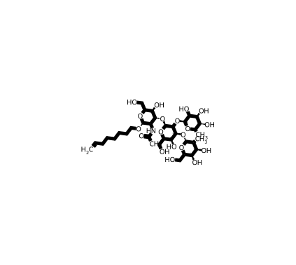 C=CCCCCCCO[C@@H]1OC(CO)[C@@H](O)[C@H](O[C@@H]2OC(CO)[C@H](O)[C@H](O[C@H]3OC(CO)[C@H](O)[C@H](O)C3C)C2O[C@@H]2OC(C)[C@@H](O)[C@H](O)C2O)C1NC(C)=O